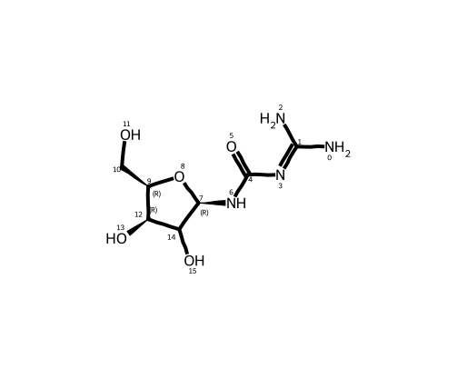 NC(N)=NC(=O)N[C@@H]1O[C@H](CO)[C@H](O)C1O